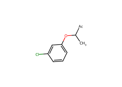 CC(=O)C(C)Oc1cccc(Cl)c1